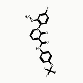 COc1cc(F)ccc1-n1cccc(C(=O)Nc2ccc(OC(F)(F)F)cc2)c1=O